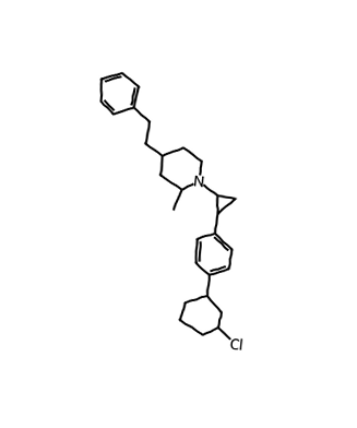 CC1CC(CCc2ccccc2)CCN1C1CC1c1ccc(C2CCCC(Cl)C2)cc1